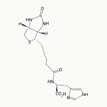 O=C(CCCC[C@@H]1SC[C@@H]2NC(=O)N[C@@H]21)N[C@@H](Cc1c[nH]cn1)C(=O)O